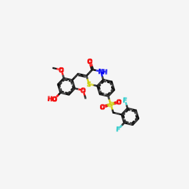 COc1cc(O)cc(OC)c1/C=C1\Sc2cc(S(=O)(=O)Cc3c(F)cccc3F)ccc2NC1=O